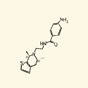 C[C@@H]1Cc2ccsc2[C@@H](C)N1CCNC(=O)c1ccc(N)cc1